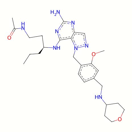 CCC[C@@H](CCNC(C)=O)Nc1nc(N)nc2cnn(Cc3ccc(CNC4CCOCC4)cc3OC)c12